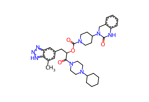 Cc1cc(CC(OC(=O)N2CCC(N3Cc4ccccc4NC3=O)CC2)C(=O)N2CCN(C3CCCCC3)CC2)cc2nn[nH]c12